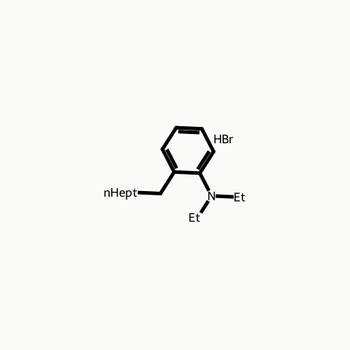 Br.CCCCCCCCc1ccccc1N(CC)CC